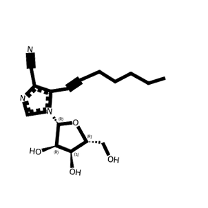 CCCCCC#Cc1c(C#N)ncn1[C@@H]1O[C@H](CO)[C@@H](O)[C@H]1O